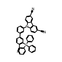 N#Cc1ccc2c(c1)c1cc(C#N)ccc1n2-c1cccc(-c2ccc(C#N)c([Si](c3ccccc3)(c3ccccc3)c3ccccc3)c2)c1